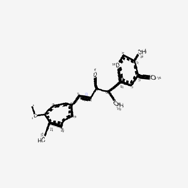 COc1cc(/C=C/C(=O)C(O)c2cc(=O)c(O)co2)ccc1O